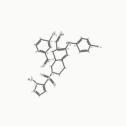 Cn1nccc1S(=O)(=O)N1CCC2=CC(Nc3ccc(F)cc3)=C(C=N)C[C@]2(C(=O)c2cc(C(F)(F)F)ccn2)C1